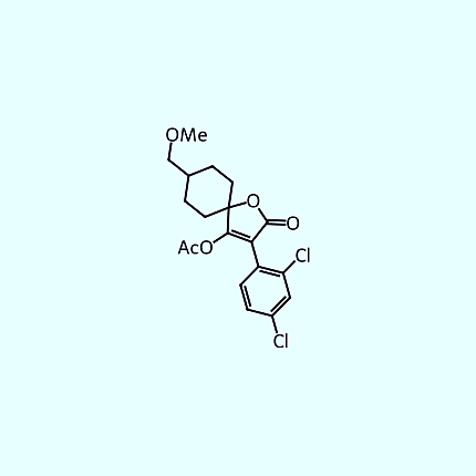 COCC1CCC2(CC1)OC(=O)C(c1ccc(Cl)cc1Cl)=C2OC(C)=O